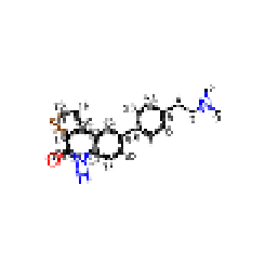 CN(C)CCc1ccc(-c2ccc3[nH]c(=O)c4sccc4c3c2)cc1